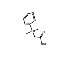 CC(C)(C)C(=O)[CH2][Sn]([CH3])([CH3])[c]1ccccc1